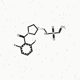 C=CS(=O)(=O)NC[C@H]1CCN(C(=O)c2c(F)cccc2F)C1